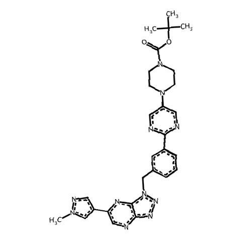 Cn1cc(-c2cnc3nnn(Cc4cccc(-c5ncc(N6CCN(C(=O)OC(C)(C)C)CC6)cn5)c4)c3n2)cn1